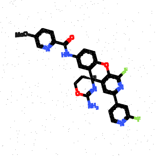 COc1ccc(C(=O)Nc2ccc3c(c2)[C@@]2(CCOC(N)=N2)c2cc(-c4ccnc(F)c4)nc(F)c2O3)nc1